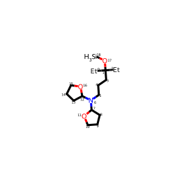 CCC(CC)(CCCN(C1CCCO1)C1CCCO1)O[SiH3]